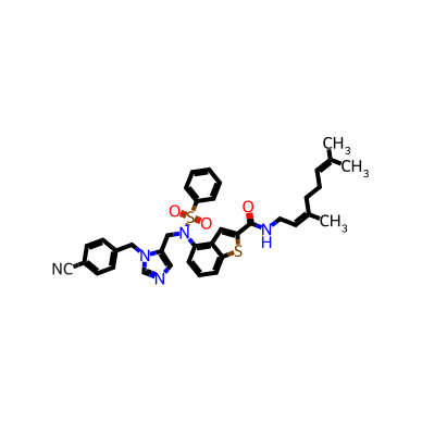 CC(C)=CCCC(C)=CCNC(=O)c1cc2c(N(Cc3cncn3Cc3ccc(C#N)cc3)S(=O)(=O)c3ccccc3)cccc2s1